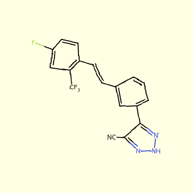 N#Cc1n[nH]nc1-c1cccc(C=Cc2ccc(F)cc2C(F)(F)F)c1